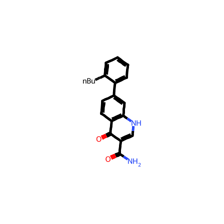 CCCCc1ccccc1-c1ccc2c(=O)c(C(N)=O)c[nH]c2c1